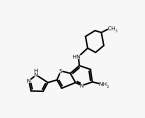 CC1CCC(Nc2cc(N)nc3cc(-c4ccn[nH]4)sc23)CC1